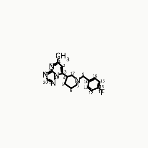 Cc1cc(C2CCCN(Cc3ccc(F)cc3)C2)n2ncnc2n1